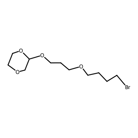 BrCCCCOCCCOC1COCCO1